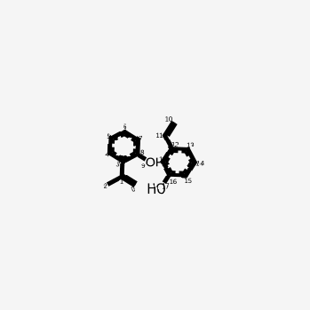 C=C(C)c1ccccc1O.C=Cc1cccc(O)c1